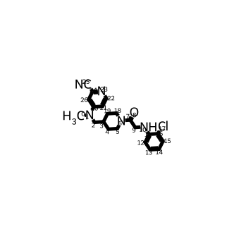 CN(CC1CCN(C(=O)CNc2ccccc2Cl)CC1)c1ccnc(C#N)c1